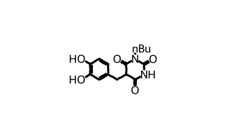 CCCCN1C(=O)NC(=O)C(Cc2ccc(O)c(O)c2)C1=O